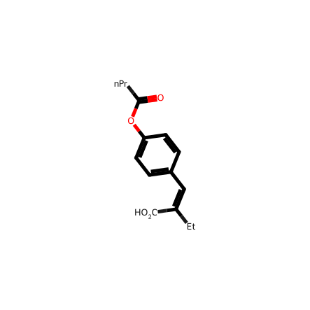 CCCC(=O)Oc1ccc(C=C(CC)C(=O)O)cc1